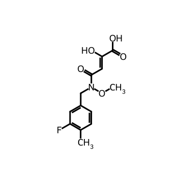 CON(Cc1ccc(C)c(F)c1)C(=O)/C=C(\O)C(=O)O